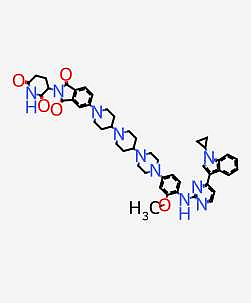 COc1cc(N2CCN(C3CCN(C4CCN(c5ccc6c(c5)C(=O)N(C5CCC(=O)NC5=O)C6=O)CC4)CC3)CC2)ccc1Nc1nccc(-c2cn(C3CC3)c3ccccc23)n1